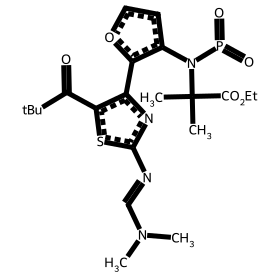 CCOC(=O)C(C)(C)N(c1ccoc1-c1nc(N=CN(C)C)sc1C(=O)C(C)(C)C)P(=O)=O